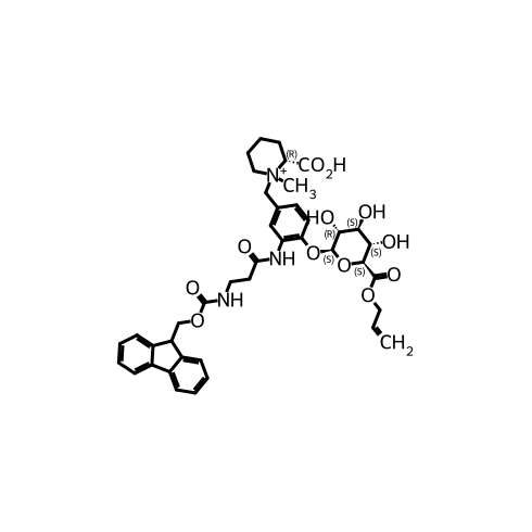 C=CCOC(=O)[C@H]1O[C@@H](Oc2ccc(C[N+]3(C)CCCC[C@@H]3C(=O)O)cc2NC(=O)CCNC(=O)OCC2c3ccccc3-c3ccccc32)[C@H](O)[C@@H](O)[C@@H]1O